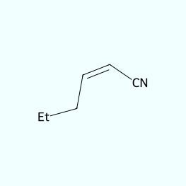 CCC/C=C\C#N